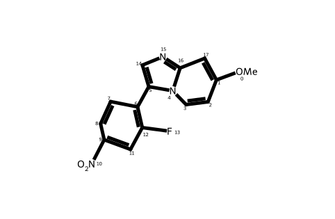 COc1ccn2c(-c3ccc([N+](=O)[O-])cc3F)cnc2c1